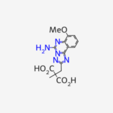 COc1cccc2c1nc(N)n1nc(CC(C)(C(=O)O)C(=O)O)nc21